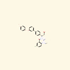 CCN(CC)c1ccc(Cl)cc1C(=O)NC(CC(=O)O)c1ccc(-c2cccc(Oc3ccc(OC)cc3)c2)cc1